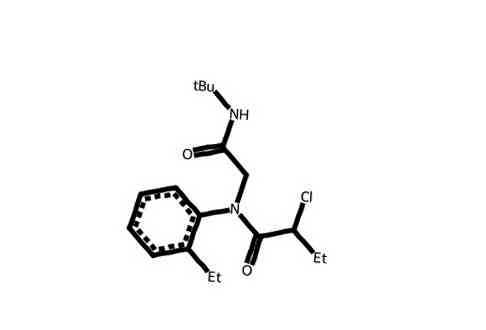 CCc1ccccc1N(CC(=O)NC(C)(C)C)C(=O)C(Cl)CC